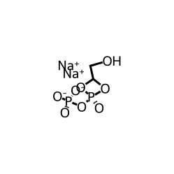 O=P([O-])([O-])OP1(=O)OC(CO)O1.[Na+].[Na+]